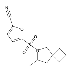 CC1CC2(CCC2)CN1S(=O)(=O)c1ccc(C#N)o1